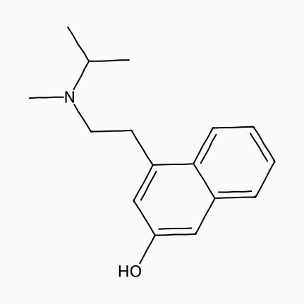 CC(C)N(C)CCc1cc(O)cc2ccccc12